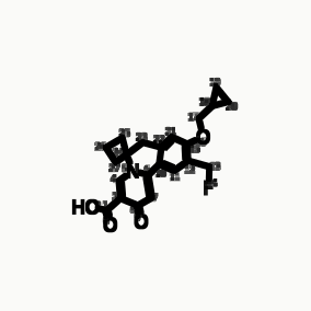 O=C(O)c1cn2c(cc1=O)-c1cc(CF)c(OCC3CC3)cc1CC21CCC1